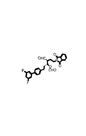 O=CO[C@H](CCc1ccc(-c2cc(F)cc(F)c2)cc1)[C@@H](C=O)CCN1C(=O)c2ccccc2C1=O